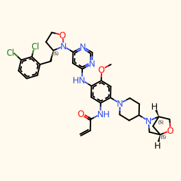 C=CC(=O)Nc1cc(Nc2cc(N3OCC[C@@H]3Cc3cccc(Cl)c3Cl)ncn2)c(OC)cc1N1CCC(N2C[C@@H]3C[C@H]2CO3)CC1